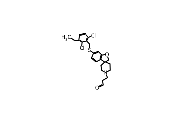 CCc1ccc(Cl)c(CSc2ccc3c(c2)OCC32CCN(CCC=O)CC2)c1Cl